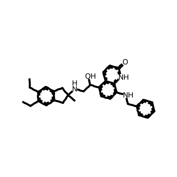 CCc1cc2c(cc1CC)CC(C)(NCC(O)c1ccc(NCc3ccccc3)c3[nH]c(=O)ccc13)C2